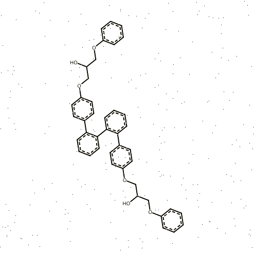 OC(COc1ccccc1)COc1ccc(-c2ccccc2-c2ccccc2-c2ccc(OCC(O)COc3ccccc3)cc2)cc1